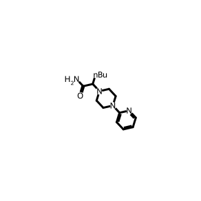 CCCCC(C(N)=O)N1CCN(c2ccccn2)CC1